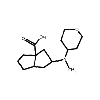 CN(C1CCOCC1)C1CC2CCCC2(C(=O)O)C1